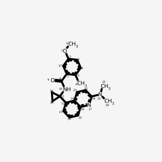 COc1ccc(C)c(C(=O)NC2(c3cccc4nc(N(C)C)ccc34)CC2)c1